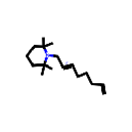 C=CCCC/C=C/CN1C(C)(C)CCCC1(C)C